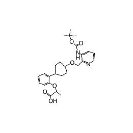 CC(Oc1ccccc1C1CCC(OCc2ncccc2NC(=O)OC(C)(C)C)CC1)C(=O)O